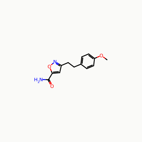 COc1ccc(CCc2cc(C(N)=O)on2)cc1